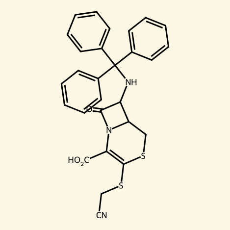 N#CCSC1=C(C(=O)O)N2C(=O)C(NC(c3ccccc3)(c3ccccc3)c3ccccc3)C2CS1